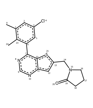 Cc1cc(Cl)cc(-c2ncnc3cc(CN4CCCC4=O)sc23)c1C